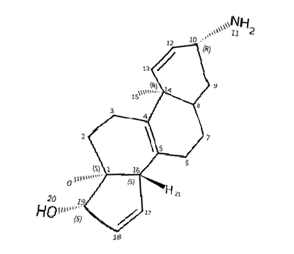 C[C@]12CCC3=C(CCC4C[C@@H](N)C=C[C@]34C)[C@@H]1C=C[C@@H]2O